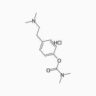 CN(C)CCc1ccc(OC(=O)N(C)C)cc1.Cl